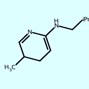 CC(C)CNC1=CCC(C)C=N1